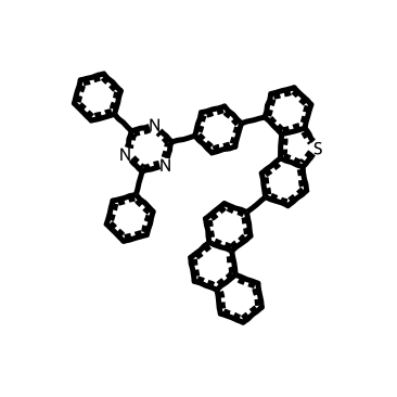 c1ccc(-c2nc(-c3ccccc3)nc(-c3ccc(-c4cccc5sc6ccc(-c7ccc8ccc9ccccc9c8c7)cc6c45)cc3)n2)cc1